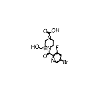 O=C(O)N1CCN(C(=O)c2ncc(Br)cc2F)[C@@H](CO)C1